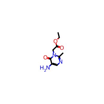 CCOC(=O)Cn1c(C)ncc(N)c1=O